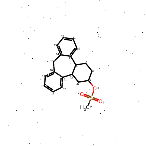 CS(=O)(=O)OC1CCC2c3ccccc3Cc3ccccc3C2C1